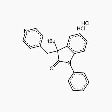 CC(C)(C)C1(Cc2ccncc2)C(=O)N(c2ccccc2)c2ccccc21.Cl.Cl